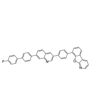 Fc1ccc(-c2ccc(-c3ccc4cc(-c5ccc(-c6cccc7c6oc6ncccc67)cc5)cnc4c3)cc2)cc1